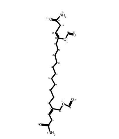 NC(=O)CC=C(CCCCCCCCCCCC(=CCC(N)=O)OC=O)COC=O